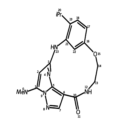 CNc1cc2nc3c(cnn13)C(=O)NCCOc1ccc(C(C)C)c(c1)N2